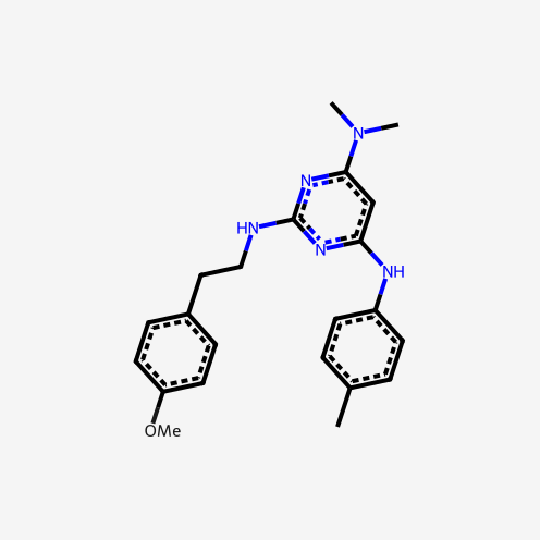 COc1ccc(CCNc2nc(Nc3ccc(C)cc3)cc(N(C)C)n2)cc1